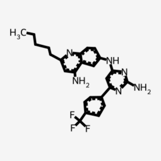 CCCCCc1cc(N)c2cc(Nc3cc(-c4ccc(C(F)(F)F)cc4)nc(N)n3)ccc2n1